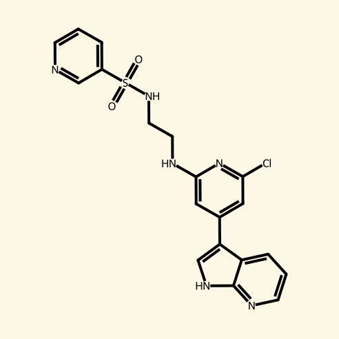 O=S(=O)(NCCNc1cc(-c2c[nH]c3ncccc23)cc(Cl)n1)c1cccnc1